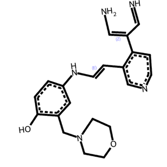 N=C/C(=C\N)c1ccncc1/C=C/Nc1ccc(O)c(CN2CCOCC2)c1